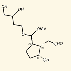 COC(OCCC(O)CO)[C@@H]1CC[C@@H](O)[C@H]1CC=O